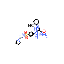 N#CC1CCCCC1n1cc(C(N)=O)c(Nc2ccc(S(=O)(=O)NCCN3CCCC3)cc2)n1